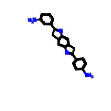 Nc1ccc(C2=Nc3cc4c(cc3C2)N=C(c2cccc(N)c2)C4)cc1